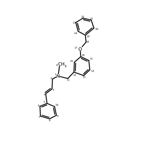 CN(CC=Cc1ccccc1)Cc1cccc(OCc2ccccc2)c1